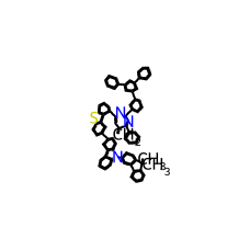 C=C1C=C(c2cccc3sc4ccc(-c5ccc6c(c5)c5ccccc5n6-c5ccc6c(c5)-c5ccccc5C6(C)C)cc4c23)N=C(c2cccc(-c3cc(-c4ccccc4)cc(-c4ccccc4)c3)c2)N=C1c1ccccc1